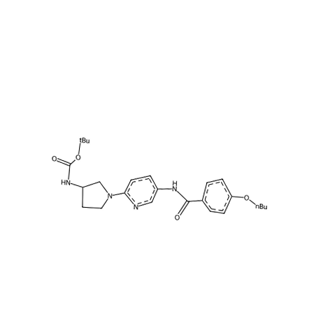 CCCCOc1ccc(C(=O)Nc2ccc(N3CCC(NC(=O)OC(C)(C)C)C3)nc2)cc1